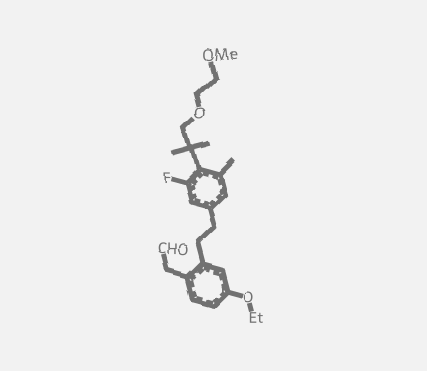 CCOc1ccc(CC=O)c(CCc2cc(C)c(C(C)(C)COCCOC)c(F)c2)c1